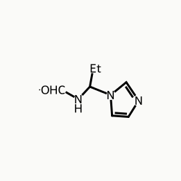 CCC(N[C]=O)n1ccnc1